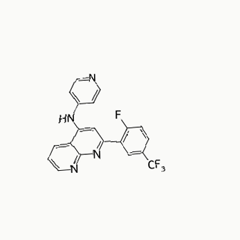 Fc1ccc(C(F)(F)F)cc1-c1cc(Nc2ccncc2)c2cccnc2n1